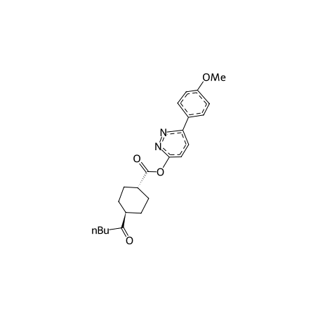 CCCCC(=O)[C@H]1CC[C@H](C(=O)Oc2ccc(-c3ccc(OC)cc3)nn2)CC1